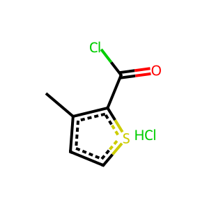 Cc1ccsc1C(=O)Cl.Cl